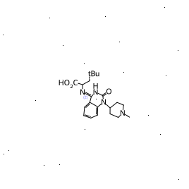 CN1CCC(n2c(=O)[nH]/c(=N\C(CC(C)(C)C)C(=O)O)c3ccccc32)CC1